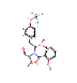 COc1cccc(OC)c1C1OC(C)C(C=O)N1CCc1ccc(OC(F)(F)F)cc1